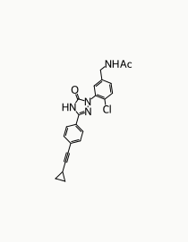 CC(=O)NCc1ccc(Cl)c(-n2nc(-c3ccc(C#CC4CC4)cc3)[nH]c2=O)c1